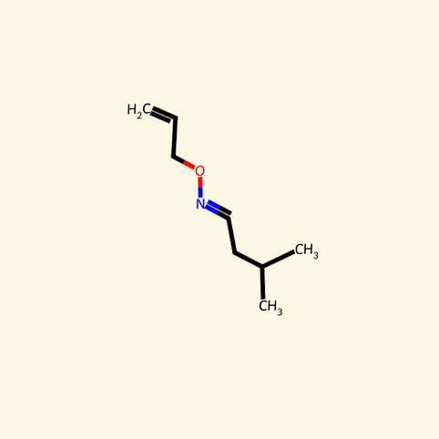 C=CCON=CCC(C)C